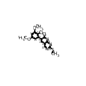 COc1cc(OC)c(Cl)c(-c2cc3cnc(SC)nc3nc2Cl)c1